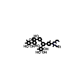 C\C=C/C(C)=C/C(=C(C)\C=C\CC)c1ccc(-c2cc(-c3ccc(O)c(-c4cccc5c(-c6c(O)c(C)c(C)c(O)c6O)cccc45)c3)cc(-c3c(O)c(C)c(O)c(O)c3O)c2)cc1C